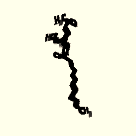 CCCCCCCCCCCC(=O)O[C@H](CO)CCC(C)=O